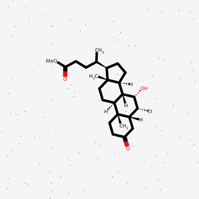 CC[C@H]1[C@@H](O)[C@@H]2[C@H](CC[C@]3(C)[C@@H](C(C)CCC(=O)OC)CC[C@@H]23)[C@@]2(C)CCC(=O)C[C@@H]12